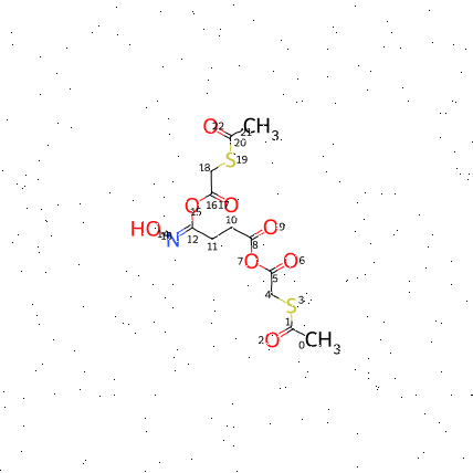 CC(=O)SCC(=O)OC(=O)CC/C(=N/O)OC(=O)CSC(C)=O